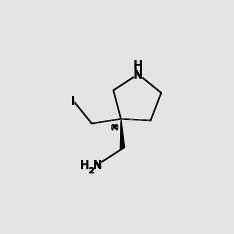 NC[C@]1(CI)CCNC1